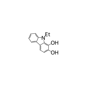 CCn1c2ccccc2c2ccc(O)c(O)c21